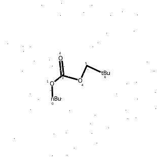 CCC[CH]OC(=O)OCC(C)(C)C